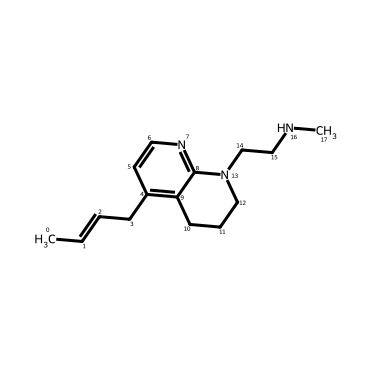 C/C=C/Cc1ccnc2c1CCCN2CCNC